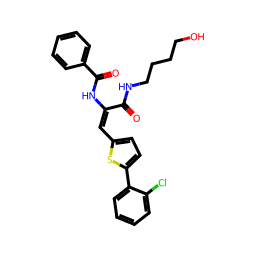 O=C(NCCCCO)/C(=C\c1ccc(-c2ccccc2Cl)s1)NC(=O)c1ccccc1